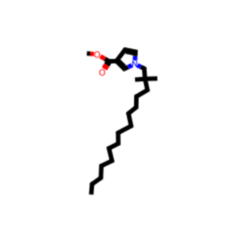 CCCCCCCCCCCCCC(C)(C)Cn1ccc(C(=O)OC)c1